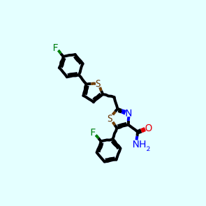 NC(=O)c1nc(Cc2ccc(-c3ccc(F)cc3)s2)sc1-c1ccccc1F